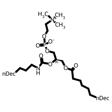 CCCCCCCCCCCCCCCC(=O)OC[C@H](COP(=O)([O-])OCC[N+](C)(C)C)OC(=O)NCCCCCCCCCCCCC